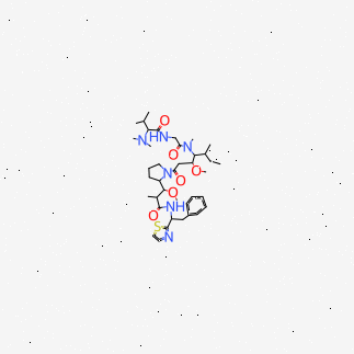 CCC(C)C(C(CC(=O)N1CCCC1C(OC)C(C)C(=O)NC(Cc1ccccc1)c1nccs1)OC)N(C)C(=O)CNC(=O)C(C(C)C)N(C)C